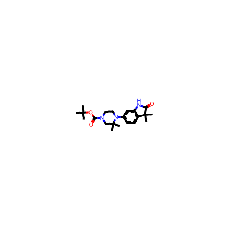 CC(C)(C)OC(=O)N1CCN(c2ccc3c(c2)NC(=O)C3(C)C)C(C)(C)C1